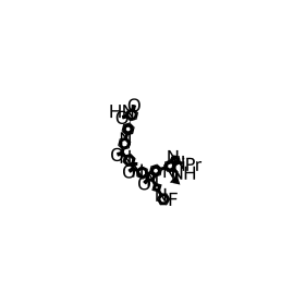 CC(C)n1cnc2cc(-c3ccc4c(c3)N(C3CC(N5CCC[C@H](F)C5)C3)C(=O)C43CCN(C(=O)C4(C)CCN(C(=O)C5CCN(c6ccc([C@H]7CCC(=O)NC7=O)cc6)CC5)CC4)CC3)nc(NC3CC3)c21